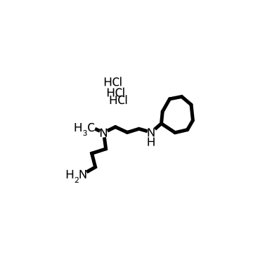 CN(CCCN)CCCNC1CCCCCCC1.Cl.Cl.Cl